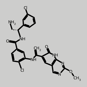 C=C(Nc1cc(C(=O)N[C@H](CN)c2cccc(Cl)c2)ccc1Cl)c1cc2cnc(OC)nc2[nH]c1=O